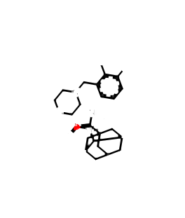 NC(=O)C12CC3CC(C1)C(NC(=O)[C@H]1CN(Cc4cccc(Cl)c4Cl)CCO1)C(C3)C2